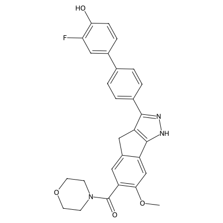 COc1cc2c(cc1C(=O)N1CCOCC1)Cc1c(-c3ccc(-c4ccc(O)c(F)c4)cc3)n[nH]c1-2